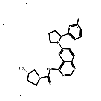 O=C(Nc1ncnc2ccc(N3CCCC3c3cccc(Cl)c3)nc12)N1CC[C@H](O)C1